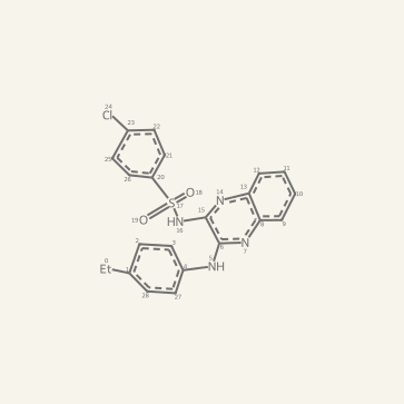 CCc1ccc(Nc2nc3ccccc3nc2NS(=O)(=O)c2ccc(Cl)cc2)cc1